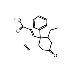 C=C.CCC1CC(=O)CCC1(C=CC(=O)O)c1ccccc1